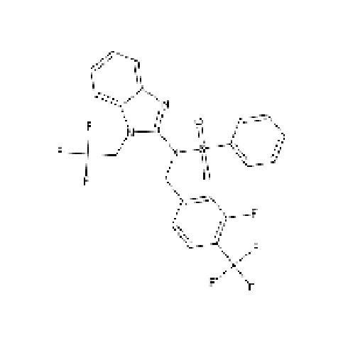 O=S(=O)(c1ccccc1)N(Cc1ccc(C(F)(F)F)c(F)c1)c1nc2ccccc2n1CC(F)(F)F